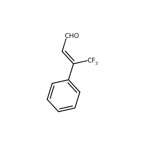 O=CC=C(c1ccccc1)C(F)(F)F